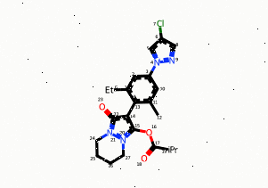 CCc1cc(-n2cc(Cl)cn2)cc(C)c1-c1c(OC(=O)C(C)C)n2n(c1=O)CCCC2